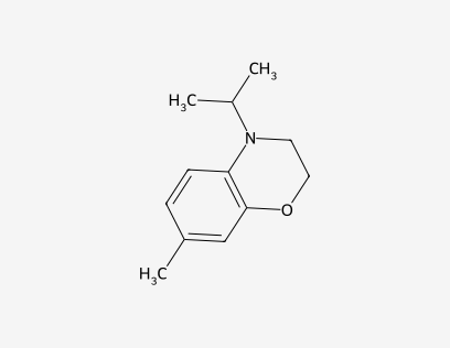 Cc1ccc2c(c1)OCCN2C(C)C